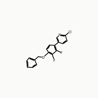 Fc1c(OCc2ccccc2)ccc(-c2ccc(Cl)nc2)c1F